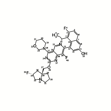 CCc1c(F)ccc2cc(O)cc(-c3ncc4c(N5CCCOC5)nc(OC[C@@]56CCCN5C[C@H](F)C6)nc4c3F)c12